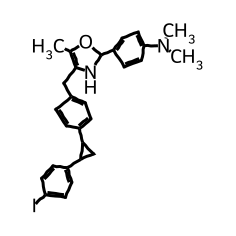 CC1=C(Cc2ccc(C3CC3c3ccc(I)cc3)cc2)NC(c2ccc(N(C)C)cc2)O1